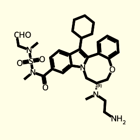 CN(CCN)[C@H]1COc2ccccc2-c2c(C3CCCCC3)c3ccc(C(=O)N(C)S(=O)(=O)N(C)CC=O)cc3n2C1